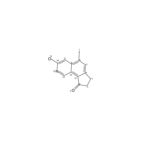 O=C1CCc2cc(I)c3cc(Cl)ncc3c21